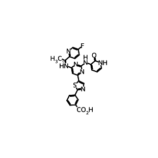 C[C@H](Nc1cc(-c2cnc(-c3cccc(C(=O)O)c3)s2)nc(Nc2ccc[nH]c2=O)n1)c1ccc(F)cn1